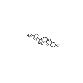 CC12CCC(c3nnc4c(Oc5ccc(Cl)cc5Cl)cccn34)(CC1)C2